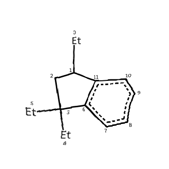 CCC1CC(CC)(CC)c2ccccc21